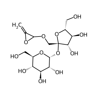 C=C1OC1OC[C@@]1(O[C@H]2O[C@H](CO)[C@@H](O)[C@H](O)[C@H]2O)O[C@H](CO)[C@@H](O)[C@@H]1O